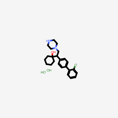 Cl.Cl.OC1(C(CN2CCNCC2)c2ccc(-c3ccccc3Cl)cc2)CCCCC1